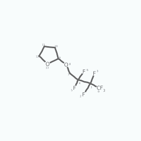 FC(F)(F)C(F)(F)C(F)(F)COC1CCCO1